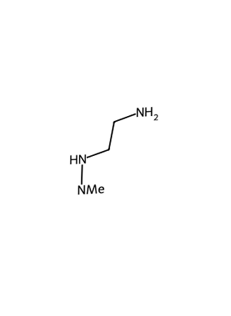 CNNCCN